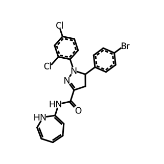 O=C(NC1=CC=CC=CN1)C1=NN(c2ccc(Cl)cc2Cl)C(c2ccc(Br)cc2)C1